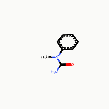 CN(C(N)=O)c1cc[c]cc1